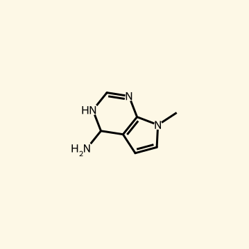 Cn1ccc2c1N=CNC2N